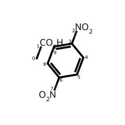 CC(=O)O.O=[N+]([O-])c1ccc([N+](=O)[O-])cc1